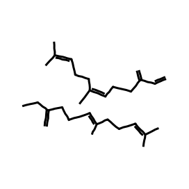 C=C(CC)CC/C=C(\C)CCC=C(C)C.C=CC(=C)CCC=C(C)CCC=C(C)C